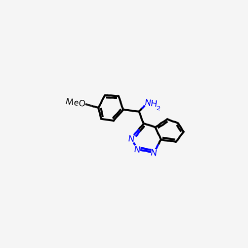 COc1ccc(C(N)c2nnnc3ccccc23)cc1